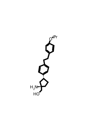 CC(C)Oc1ccc(CCc2ccc([C@@H]3CC[C@](N)(CO)C3)cc2)cc1